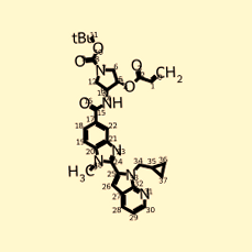 C=CC(=O)O[C@@H]1CN(C(=O)OC(C)(C)C)C[C@@H]1NC(=O)c1ccc2c(c1)nc(-c1cc3cccnc3n1CC1CC1)n2C